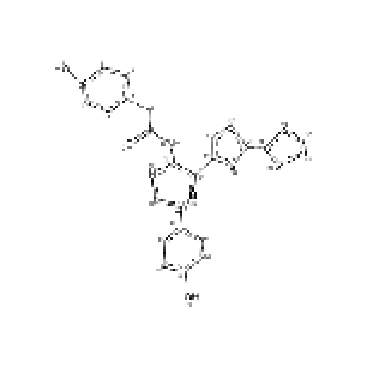 O=C(Cc1ccc(O)cc1)Nc1ncc(-c2ccc(O)cc2)nc1-c1ccc(-c2cccs2)s1